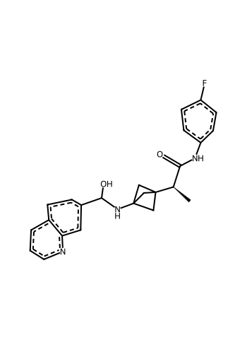 C[C@H](C(=O)Nc1ccc(F)cc1)C12CC(NC(O)c3ccc4cccnc4c3)(C1)C2